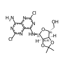 CC1(C)O[C@@H]2[C@H](O1)[C@@H](CO)O[C@@H]2Nc1nc(Cl)nc2c(N)nc(Cl)nc12